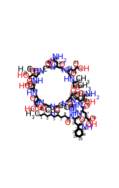 CCCCCCCCCC(=O)NC(Cc1c[nH]c2ccccc12)C(=O)NC(CCC(=O)O)C(=O)NC(C(=O)NC1C(=O)N(C)CC(=O)NC(C)C(=O)NC(CC(=O)O)C(=O)NC(CO)C(=O)NC(C(OC)C(=O)O)C(=O)NCC(=O)NC(CC(N)=O)C(=O)NC(CCC(=O)O)C(=O)NC(C(C)C)C(=O)OC1C)C(O)C(N)=O